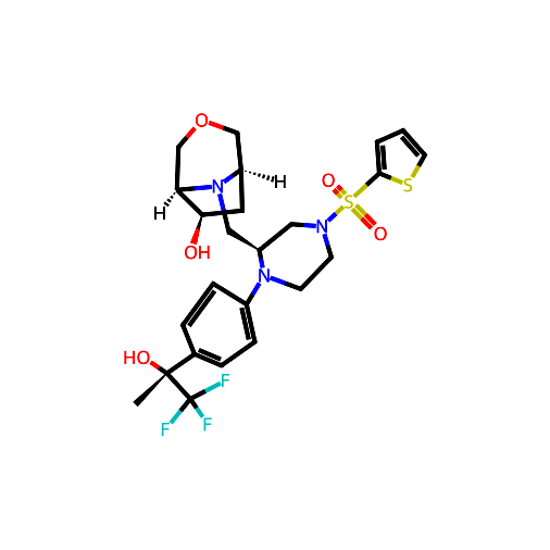 C[C@@](O)(c1ccc(N2CCN(S(=O)(=O)c3cccs3)C[C@@H]2CN2[C@H]3COC[C@@H]2[C@H](O)C3)cc1)C(F)(F)F